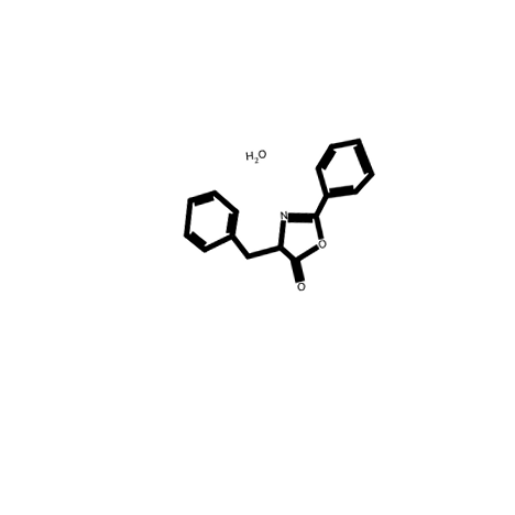 O.O=C1OC(c2ccccc2)=NC1Cc1ccccc1